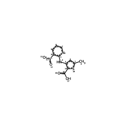 Cc1cc(Nc2ncccc2[N+](=O)[O-])c(C(=O)O)s1